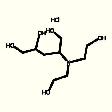 Cl.OCCN(CCO)C(CO)CC(O)CO